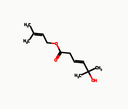 CC(C)=CCOC(=O)CC=CC(C)(C)O